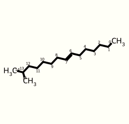 CCCCCCC=CCCCCCC(C)C